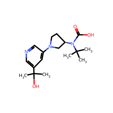 CC(C)(O)c1cncc(N2CC[C@@H](N(C(=O)O)C(C)(C)C)C2)c1